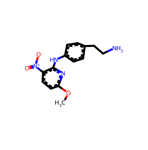 COc1ccc([N+](=O)[O-])c(Nc2ccc(CCN)cc2)n1